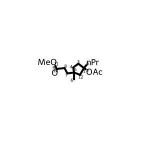 CCCC1(OC(C)=O)CCC(C)(CCC(=O)OC)C1